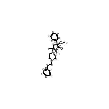 COC(CC(C)(C)N1CCN(CCc2ccccc2)CC1)(C(N)=O)c1ccccc1